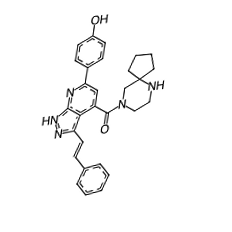 O=C(c1cc(-c2ccc(O)cc2)nc2[nH]nc(/C=C/c3ccccc3)c12)N1CCNC2(CCCC2)C1